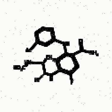 CC[C@@H](Nc1nc(Nc2cccc(C(C)=O)c2)c(C(N)=O)cc1F)[C@H](C)NC(=O)O